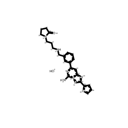 Cl.Nc1nc(-c2cccc(CNCCCN3CCCC3=O)c2)cc2nc(-c3ccco3)nn12